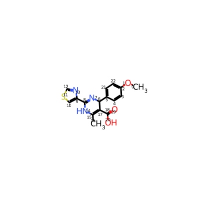 COc1ccc(C2N=C(c3cscn3)NC(C)=C2C(=O)O)cc1